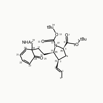 CC=C[C@@H]1C[C@H](C(=O)OC(C)(C)C)N(C(=O)OC(C)(C)C)[C@@H]1CCC1(NC(C)=O)C=CC=CC1=O